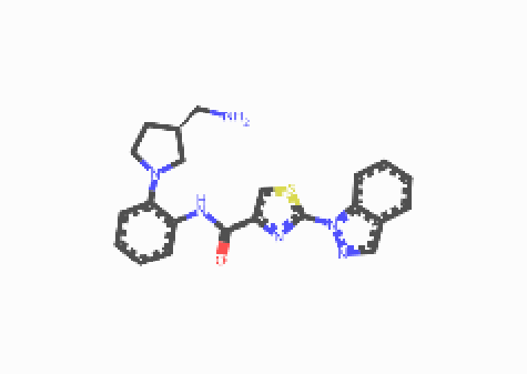 NC[C@@H]1CCN(c2ccccc2NC(=O)c2csc(-n3ncc4ccccc43)n2)C1